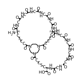 N[C@H]1CSCCC(=O)N2CCN3CCN(CC2)C(=O)CCSC[C@@H](C(=O)O)NC(=O)CNC(=O)CNC(=O)CNC(=O)CNC(=O)CNC(=O)[C@H](CCCCC3=O)NC(=O)CNC(=O)CNC(=O)CNC(=O)CNC(=O)CNC1=O